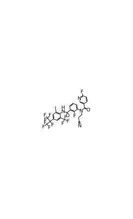 N#CCCN(C(=O)c1ccc(F)nc1)c1cccc(C(=O)Nc2c(I)cc(C(F)(C(F)(F)F)C(F)(F)F)cc2C(F)(F)F)c1F